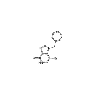 O=c1[nH]cc(Br)c2c1ncn2Cc1ccccc1